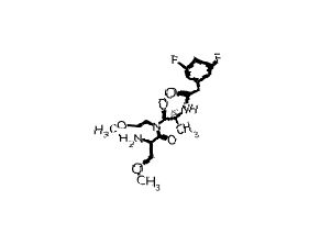 COCCN(C(=O)C(N)COC)C(=O)[C@H](C)NC(=O)Cc1cc(F)cc(F)c1